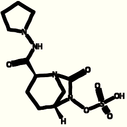 O=C(NN1CCCC1)[C@@H]1CC[C@@H]2CN1C(=O)N2OS(=O)(=O)O